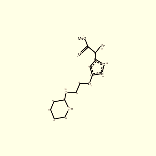 COC(=O)C(c1cc(OCCOC2CCCCO2)no1)C(C)C